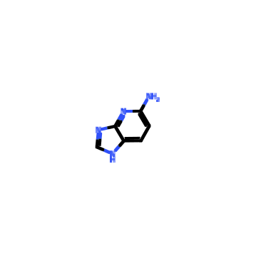 Nc1ccc2[nH]cnc2n1